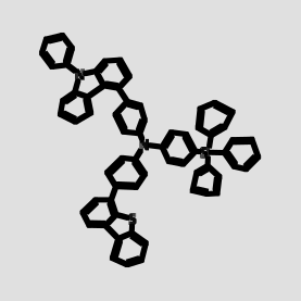 c1ccc(-n2c3ccccc3c3c(-c4ccc(N(c5ccc(-c6cccc7c6sc6ccccc67)cc5)c5ccc([Si](c6ccccc6)(c6ccccc6)c6ccccc6)cc5)cc4)cccc32)cc1